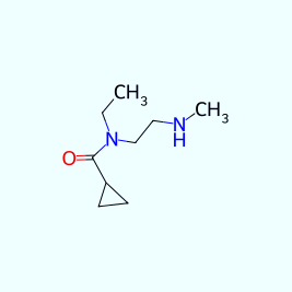 CCN(CCNC)C(=O)C1CC1